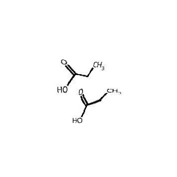 CCC(=O)O.CCC(=O)O